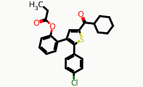 CCC(=O)Oc1ccccc1-c1cc(C(=O)C2CCCCC2)sc1-c1ccc(Cl)cc1